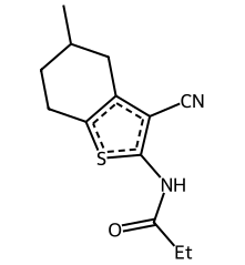 CCC(=O)Nc1sc2c(c1C#N)CC(C)CC2